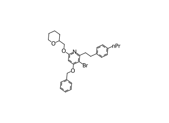 CCCc1ccc(CCc2nc(OCC3CCCCO3)cc(OCc3ccccc3)c2Br)cc1